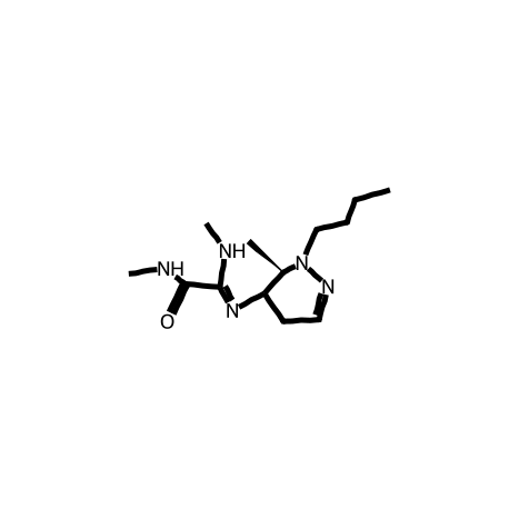 CCCCN1N=CCC(N=C(NC)C(=O)NC)[C@H]1C